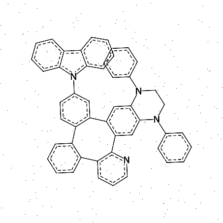 c1ccc(N2CCN(c3ccccc3)c3cc4c(cc32)-c2cc(-n3c5ccccc5c5ccccc53)ccc2-c2ccccc2-c2cccnc2-4)cc1